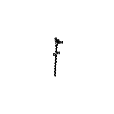 CCCCCCCCCCCCCCCC(=O)NCCCCCCOP(=O)(OO)OOC